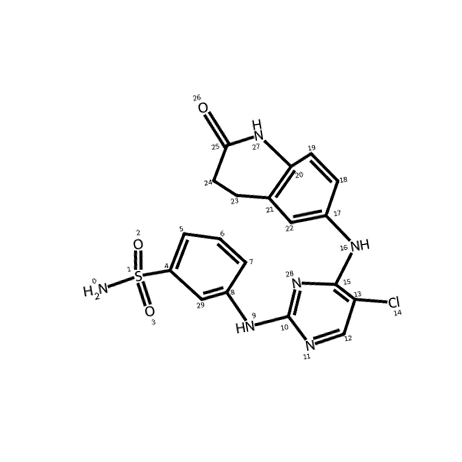 NS(=O)(=O)c1cccc(Nc2ncc(Cl)c(Nc3ccc4c(c3)CCC(=O)N4)n2)c1